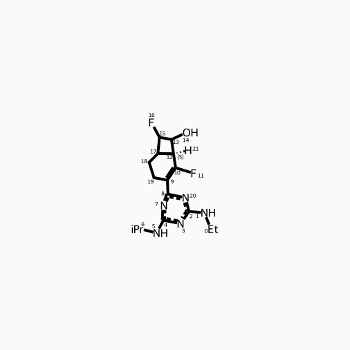 CCNc1nc(NC(C)C)nc(C2=C(F)[C@@H]3C(O)C(F)C3CC2)n1